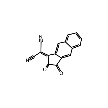 N#CC(C#N)=C1C(=O)C(=O)c2cc3ccccc3cc21